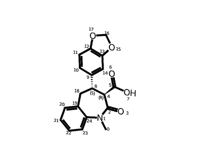 CN1C(=O)[C@H](C(=O)O)[C@@H](c2ccc3c(c2)OCO3)Cc2ccccc21